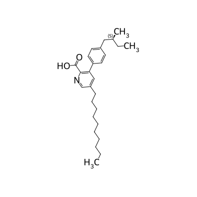 CCCCCCCCCCc1cnc(C(=O)O)c(-c2ccc(C[C@@H](C)CC)cc2)c1